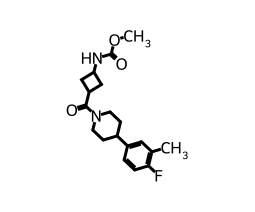 COC(=O)NC1CC(C(=O)N2CCC(c3ccc(F)c(C)c3)CC2)C1